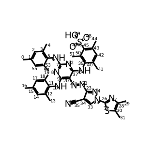 Cc1cc(C)c(Nc2nc(Nc3c(C)cc(C)cc3C)c(N=Nc3nn(-c4nc(C)c(C)s4)cc3C#N)c(Nc3c(C)cc(C)c(S(=O)(=O)O)c3C)n2)c(C)c1